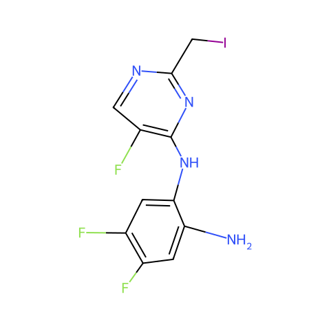 Nc1cc(F)c(F)cc1Nc1nc(CI)ncc1F